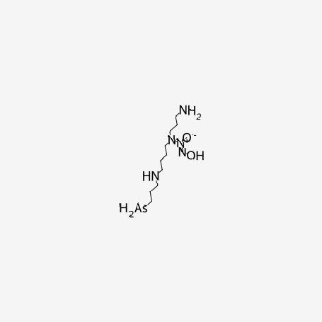 NCCCN(CCCCNCCC[AsH2])[N+]([O-])=NO